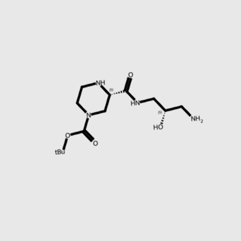 CC(C)(C)OC(=O)N1CCN[C@H](C(=O)NC[C@@H](O)CN)C1